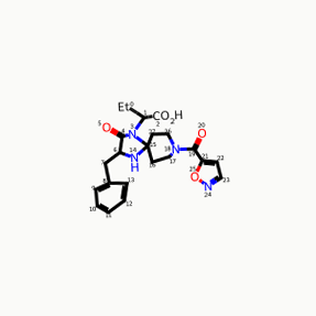 CCC(C(=O)O)N1C(=O)C(Cc2ccccc2)NC12CCN(C(=O)c1ccno1)CC2